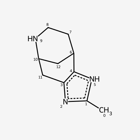 Cc1nc2c([nH]1)C1CCNC(C2)C1